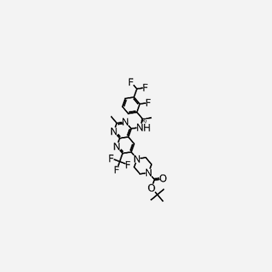 Cc1nc(N[C@H](C)c2cccc(C(F)F)c2F)c2cc(N3CCN(C(=O)OC(C)(C)C)CC3)c(C(F)(F)F)nc2n1